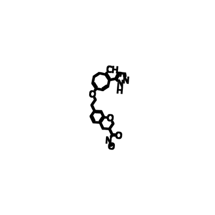 C/C1=C(c2ccn[nH]2)/C=C\C(OCCc2ccc3c(c2)OCC(C(=O)N=O)C3)=C/CC1